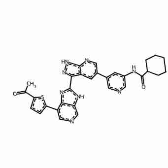 CC(=O)c1ccc(-c2cncc3[nH]c(-c4n[nH]c5ncc(-c6cncc(NC(=O)C7CCCCC7)c6)cc45)nc23)s1